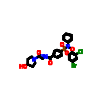 O=C(NCC(=O)N1CCC(O)CC1)c1ccc(S(=O)(=O)N(Oc2ccc(Br)cc2Cl)c2ccccc2)cc1